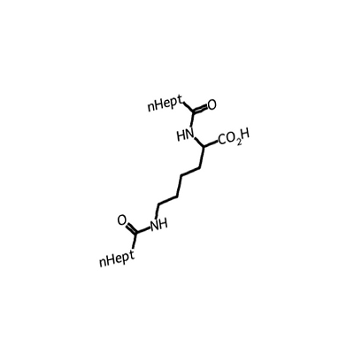 CCCCCCCC(=O)NCCCCC(NC(=O)CCCCCCC)C(=O)O